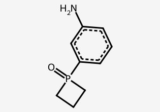 Nc1cccc(P2(=O)CCC2)c1